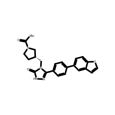 CC(C)(C)C(=O)N1CC[C@@H](Cn2c(-c3ccc(-c4ccc5occc5c4)cc3)n[nH]c2=O)C1